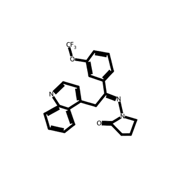 O=C1CCCN1/N=C(\Cc1ccnc2ccccc12)c1cccc(OC(F)(F)F)c1